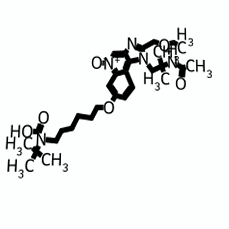 CCOCc1nc2c[n+]([O-])c3cc(OCCCCCCN(C(=O)O)C(C)(C)C)ccc3c2n1CC(C)(C)NC(C)=O